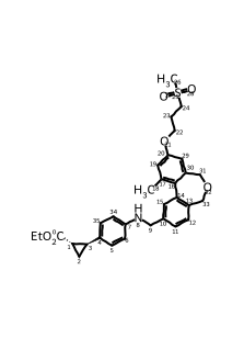 CCOC(=O)[C@H]1C[C@@H]1c1ccc(NCc2ccc3c(c2)-c2c(C)cc(OCCCS(C)(=O)=O)cc2COC3)cc1